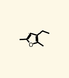 CCc1[c]c(C)oc1C